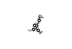 CCN(CC)c1ccc(C(c2ccc(C)cc2)c2ccc(NCc3ccc(C(CC(C)(C)C)C(C)(C)C)cc3)c3ccccc23)cc1